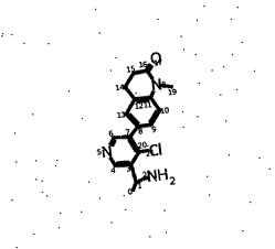 CC(N)c1cncc(-c2ccc3c(c2)CCC(=O)N3C)c1Cl